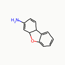 NC1=CC2Oc3ccccc3C2C=C1